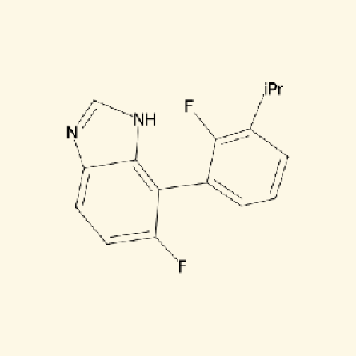 CC(C)c1cccc(-c2c(F)ccc3nc[nH]c23)c1F